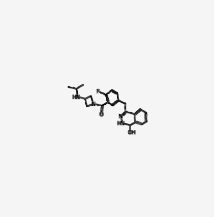 CC(C)NC1CN(C(=O)c2cc(CC3=NNC(O)c4ccccc43)ccc2F)C1